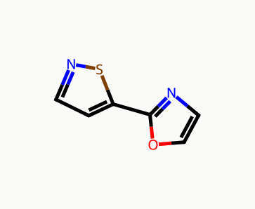 c1cc(-c2ncco2)sn1